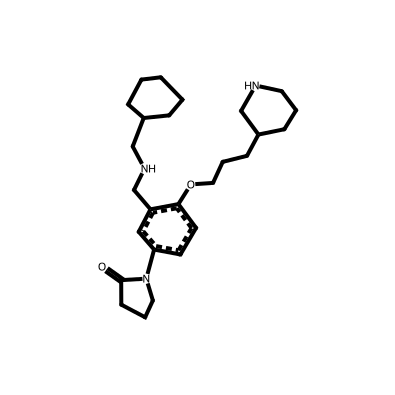 O=C1CCCN1c1ccc(OCCCC2CCCNC2)c(CNCC2CCCCC2)c1